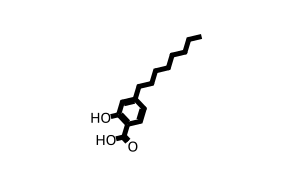 CCCCCCCCc1ccc(C(=O)O)c(O)c1